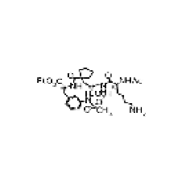 CCOC(=O)[C@@H](Cc1cccc(NS(C)(=O)=O)c1)NC(=O)C1(C[C@@H](CNC(=O)[C@H](CCCCN)NC(C)=O)C(=O)O)CCCC1